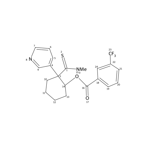 CNC(=S)C1(c2cccnc2)CCCCC1OC(=O)c1cccc(C(F)(F)F)c1